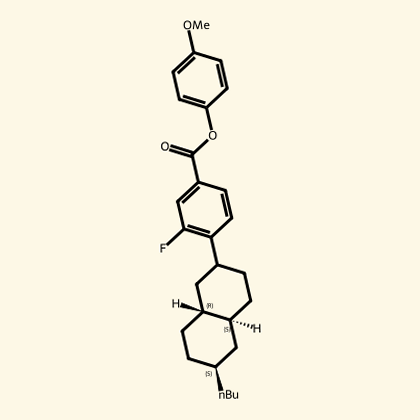 CCCC[C@H]1CC[C@@H]2CC(c3ccc(C(=O)Oc4ccc(OC)cc4)cc3F)CC[C@H]2C1